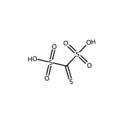 O=S(=O)(O)C(=S)S(=O)(=O)O